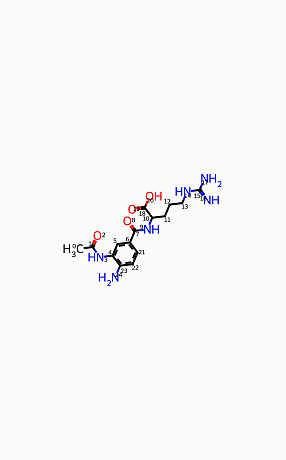 CC(=O)Nc1cc(C(=O)NC(CCCNC(=N)N)C(=O)O)ccc1N